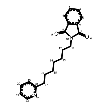 O=C1c2ccccc2C(=O)N1CCCCCCCc1ccccn1